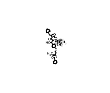 CO[C@H](C(=O)N1C(=O)OCC1Cc1ccccc1)[C@H](O)c1ccc(OCCc2nc(-c3ccccc3)oc2C)cc1O[Si](C)(C)C(C)(C)C(C)C